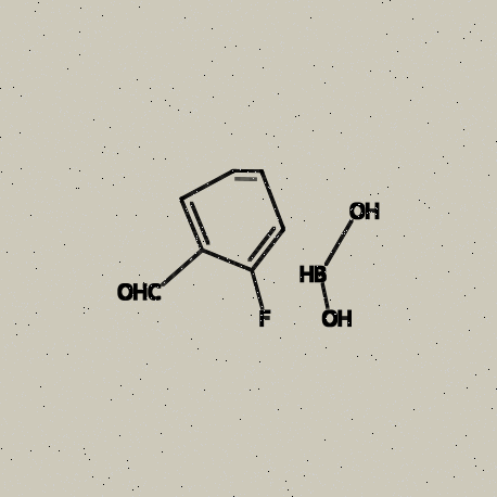 O=Cc1ccccc1F.OBO